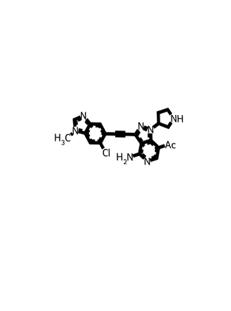 CC(=O)c1cnc(N)c2c(C#Cc3cc4ncn(C)c4cc3Cl)nn(C3CCNC3)c12